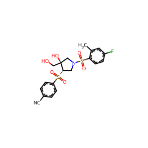 Cc1cc(F)ccc1S(=O)(=O)N1C[C@H](S(=O)(=O)c2ccc(C#N)cc2)[C@](O)(CO)C1